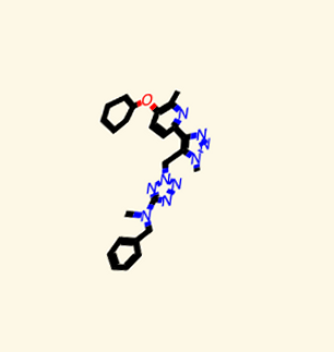 Cc1nc(-c2nnn(C)c2Cn2nnc(N(C)Cc3ccccc3)n2)ccc1OC1CCCCC1